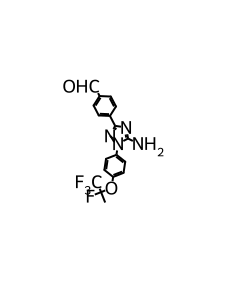 CC(F)(Oc1ccc(-n2nc(-c3ccc(C=O)cc3)nc2N)cc1)C(F)(F)F